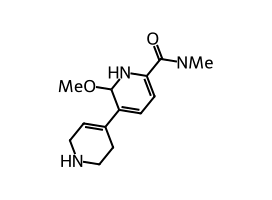 CNC(=O)C1=CC=C(C2=CCNCC2)C(OC)N1